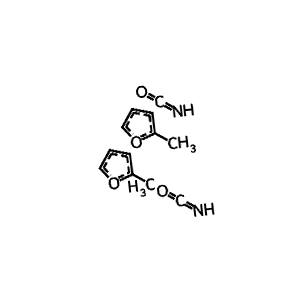 Cc1ccco1.Cc1ccco1.N=C=O.N=C=O